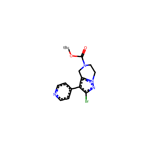 CC(C)(C)OC(=O)N1CCn2nc(Br)c(-c3ccncc3)c2C1